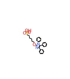 O=S(=O)(O)CCCCCCOc1nc(-c2ccccc2)c(-c2ccccc2)n1-c1ccccc1